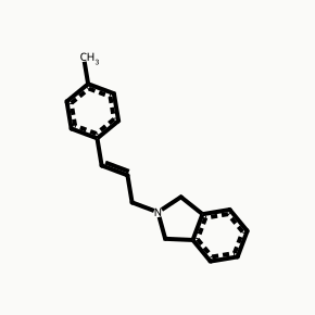 Cc1ccc(/C=C/CN2Cc3ccccc3C2)cc1